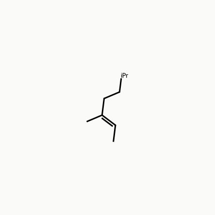 CC=C(C)CCC(C)C